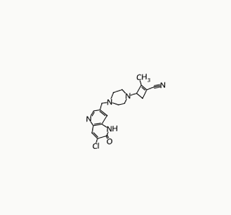 CC1=C(C#N)CC1N1CCN(Cc2cnc3cc(Cl)c(=O)[nH]c3c2)CC1